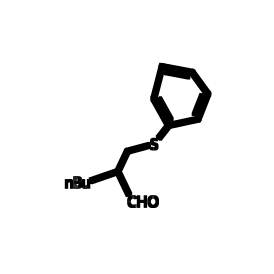 CCCCC(C=O)CSc1ccccc1